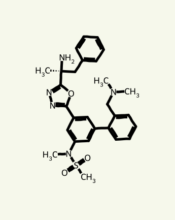 CN(C)Cc1ccccc1-c1cc(-c2nnc([C@@](C)(N)Cc3ccccc3)o2)cc(N(C)S(C)(=O)=O)c1